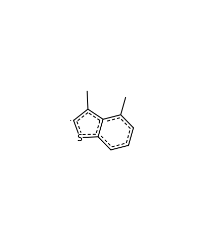 Cc1[c]sc2cccc(C)c12